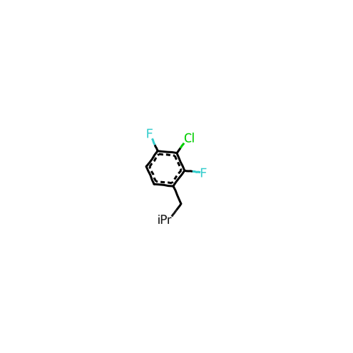 CC(C)Cc1ccc(F)c(Cl)c1F